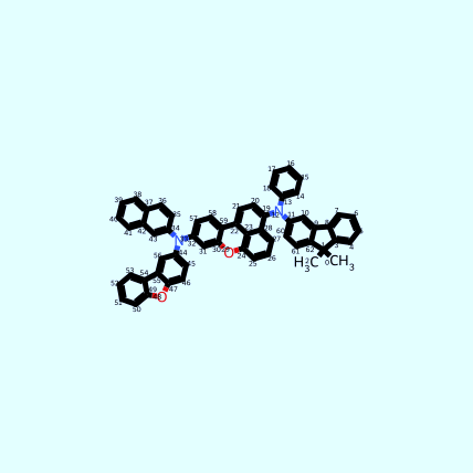 CC1(C)c2ccccc2-c2cc(N(c3ccccc3)c3ccc4c5c(cccc35)Oc3cc(N(c5ccc6ccccc6c5)c5ccc6oc7ccccc7c6c5)ccc3-4)ccc21